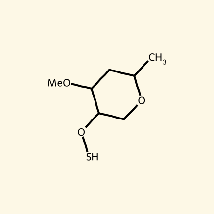 COC1CC(C)OCC1OS